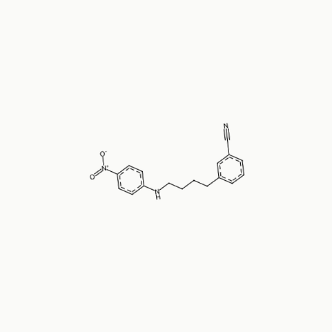 N#Cc1cccc(CCCCNc2ccc([N+](=O)[O-])cc2)c1